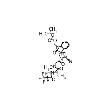 CC(C)OC(=O)OCN1C(=O)[C@]2(C[C@@H](C#N)N(C(=O)CN(C)C(=O)[C@H](C)NC(=O)C(F)(F)C(F)(F)F)C2)c2ccccc21